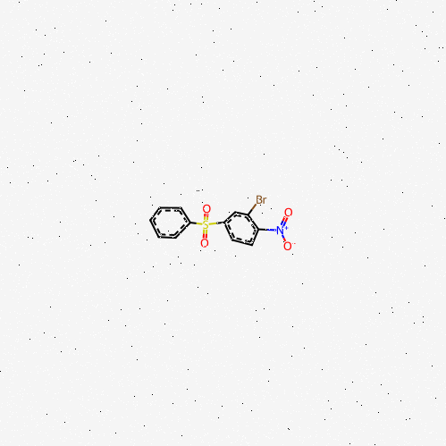 O=[N+]([O-])c1ccc(S(=O)(=O)c2ccccc2)cc1Br